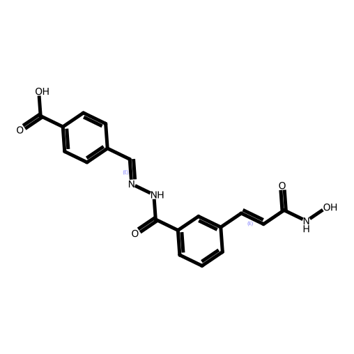 O=C(/C=C/c1cccc(C(=O)N/N=C/c2ccc(C(=O)O)cc2)c1)NO